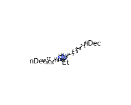 CCCCCCCCCCCCCCCCCCCN1C=CN(CCCCCCCCCCCCCCC)C1CC